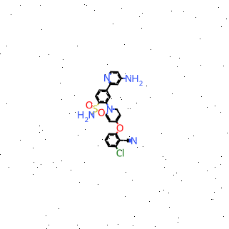 N#Cc1c(Cl)cccc1OC1=CCN(c2cc(-c3cc(N)ccn3)ccc2S(N)(=O)=O)C=C1